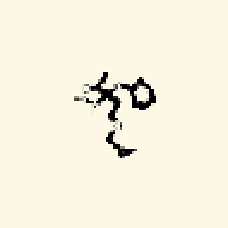 CC(C)NC(CCOCC1CC1)(Oc1ccccc1)C(C)O